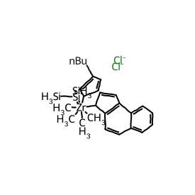 CCCCC1=C[CH]([Zr]([CH3])([CH3])([CH3])([CH3])([CH]2C=Cc3c2ccc2ccccc32)=[Si]([SiH3])[SiH3])C=C1.[Cl-].[Cl-]